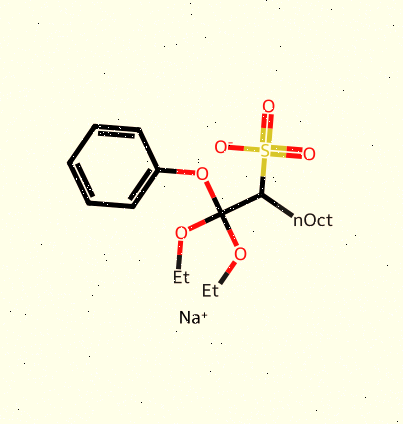 CCCCCCCCC(C(OCC)(OCC)Oc1ccccc1)S(=O)(=O)[O-].[Na+]